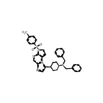 Cc1ccc(S(=O)(=O)n2ccc3c2ncc2ncc(C4CCC(N(Cc5ccccc5)Cc5ccccc5)CC4)n23)cc1